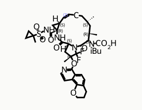 CCC(C)N(C(=O)O)[C@@H]1C(=O)N2[C@@H](C[C@@](C)(Oc3nccc4c5c(ccc34)CCCO5)C2(F)F)C(=O)N[C@]2(C(=O)NS(=O)(=O)C3(C)CC3)C[C@H]2/C=C\CC[C@H](C)C[C@H]1C